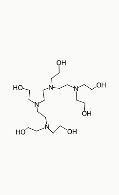 OCCN(CCO)CCN(CCO)CCN(CCO)CCN(CCO)CCO